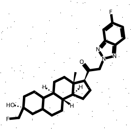 C[C@]12CC[C@@H]3C4CC[C@](O)(CF)CC4CC[C@H]3[C@@H]1CC[C@@H]2C(=O)Cn1nc2ccc(F)cc2n1